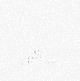 CCCCCCCCCCCCCCCCCCCCCCCCCC(=O)N[C@@H](CO[C@H]1OC(C)[C@H](O)[C@H](O)C1O)[C@H](O)[C@H](O)CCCCCCCCCCCCCC